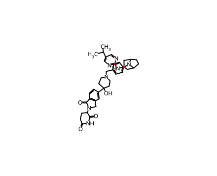 CC(C)c1cnc(NC2CC3CCC(C2)N3c2ccc(CN3CCC(O)(c4ccc5c(c4)CN(C4CCC(=O)NC4=O)C5=O)CC3)cc2)nc1